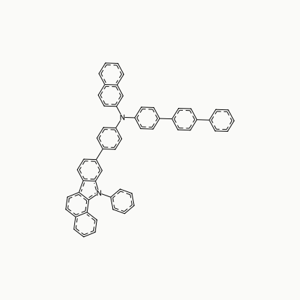 c1ccc(-c2ccc(-c3ccc(N(c4ccc(-c5ccc6c7ccc8ccccc8c7n(-c7ccccc7)c6c5)cc4)c4ccc5ccccc5c4)cc3)cc2)cc1